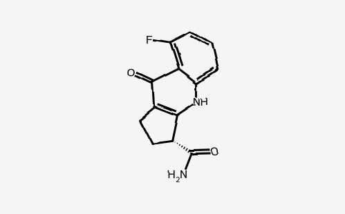 NC(=O)[C@@H]1CCc2c1[nH]c1cccc(F)c1c2=O